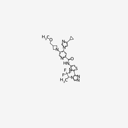 COCC1CN(c2cnc(C(=O)Nc3csc(-c4nncn4[C@@H](C)C(F)(F)F)n3)cc2-n2cnc(C3CC3)c2)C1